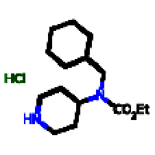 CCOC(=O)N(CC1CCCCC1)C1CCNCC1.Cl